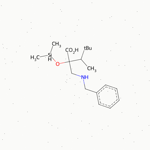 CC(C(C)(C)C)C(CNCc1ccccc1)(O[SiH](C)C)C(=O)O